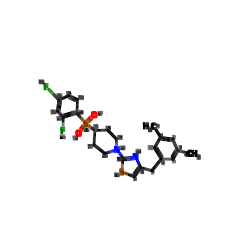 Cc1cc(C)cc(Cc2csc(N3CCC(S(=O)(=O)c4ccc(F)cc4F)CC3)n2)c1